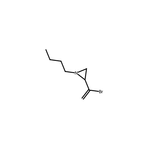 C=C(Br)C1CN1CCCC